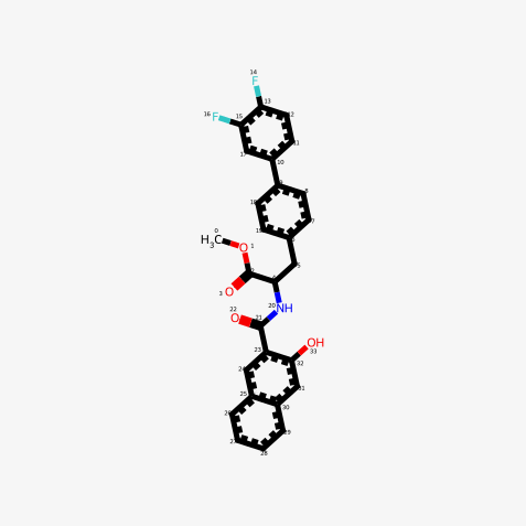 COC(=O)C(Cc1ccc(-c2ccc(F)c(F)c2)cc1)NC(=O)c1cc2ccccc2cc1O